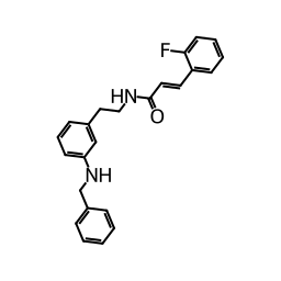 O=C(C=Cc1ccccc1F)NCCc1cccc(NCc2ccccc2)c1